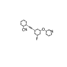 N#Cc1ccccc1C#Cc1cc(F)cc(Oc2cccnc2)c1